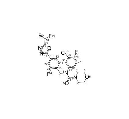 O=C(N1CCOCC1)N(Cc1ccc(-c2nnc(C(F)F)o2)cc1F)c1ccc(F)c(Cl)c1